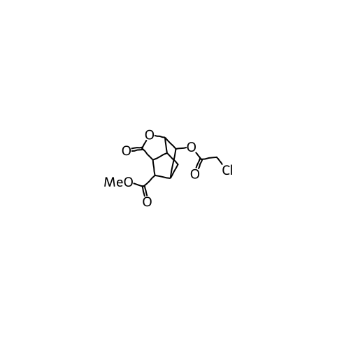 COC(=O)C1C2CC3C(OC(=O)C31)C2OC(=O)CCl